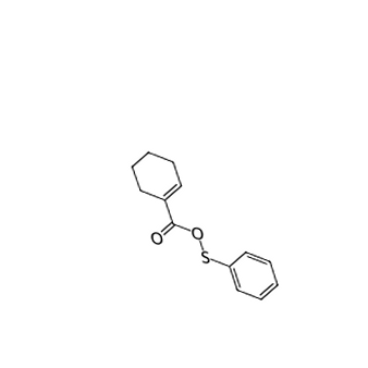 O=C(OSc1ccccc1)C1=CCCCC1